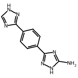 Nc1nc(-c2ccc(-c3nc[nH]n3)cc2)n[nH]1